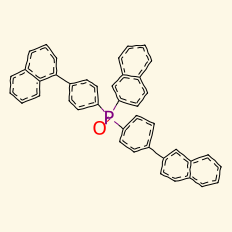 O=P(c1ccc(-c2ccc3ccccc3c2)cc1)(c1ccc(-c2cccc3ccccc23)cc1)c1ccc2ccccc2c1